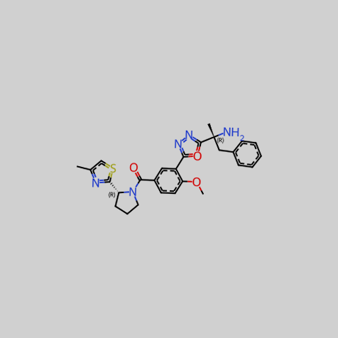 COc1ccc(C(=O)N2CCC[C@@H]2c2nc(C)cs2)cc1-c1nnc([C@](C)(N)Cc2ccccc2)o1